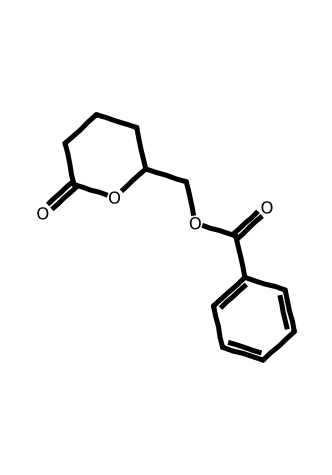 O=C1CCCC(COC(=O)c2ccccc2)O1